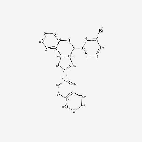 Brc1cccc(C2Oc3ccccc3C3CC(c4ccc5c(c4)OCCO5)=NN32)c1